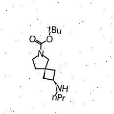 CCCN[C@H]1C[C@]2(CCN(C(=O)OC(C)(C)C)C2)C1